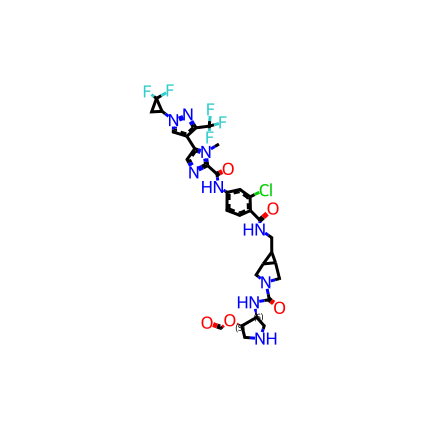 Cn1c(-c2cn(C3CC3(F)F)nc2C(F)(F)F)cnc1C(=O)Nc1ccc(C(=O)NCC2C3CN(C(=O)N[C@H]4CNC[C@@H]4OC=O)CC23)c(Cl)c1